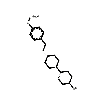 CCCCCCCOc1ccc(CC[C@H]2CC[C@H]([C@H]3CC[C@H](CCC)CC3)CC2)cc1